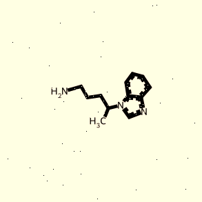 CC(CCCN)n1cnc2ccccc21